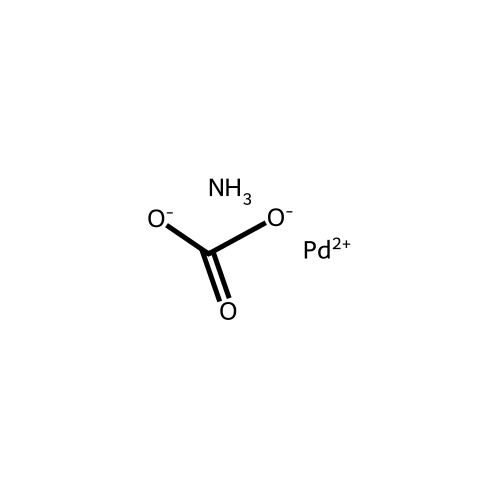 N.O=C([O-])[O-].[Pd+2]